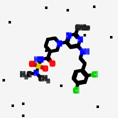 COc1nc(NCCc2ccc(Cl)cc2Cl)cc(N2CCCC(C(=O)NS(=O)(=O)N(C)C)C2)n1